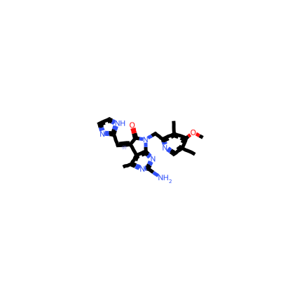 COc1c(C)cnc(CN2C(=O)/C(=C\c3ncc[nH]3)c3c(C)nc(N)nc32)c1C